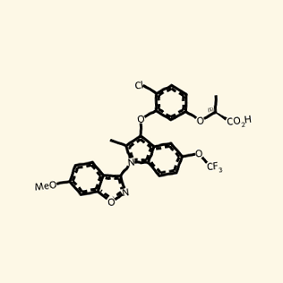 COc1ccc2c(-n3c(C)c(Oc4cc(O[C@@H](C)C(=O)O)ccc4Cl)c4cc(OC(F)(F)F)ccc43)noc2c1